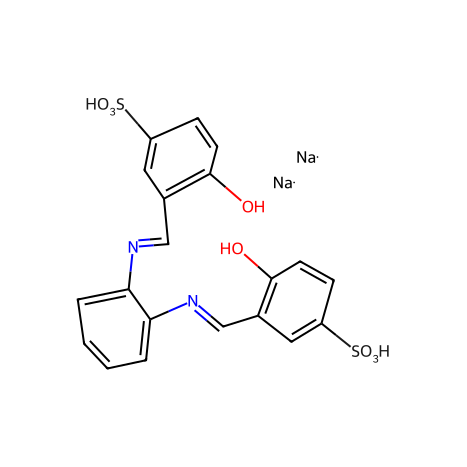 O=S(=O)(O)c1ccc(O)c(C=Nc2ccccc2N=Cc2cc(S(=O)(=O)O)ccc2O)c1.[Na].[Na]